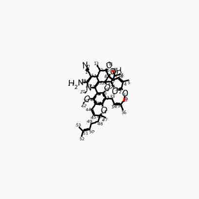 COC(=O)/C(C)=C\CC1(O)C(=O)C(C)C2C(C#N)=C(N)N(C)C3=C2C1(C(C)C(C)C)Oc1c(CC=C(C)C)c2c(c(OC)c13)C=CC(C)(CCC=C(C)C)O2